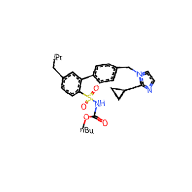 CCCCOC(=O)NS(=O)(=O)c1ccc(CC(C)C)cc1-c1ccc(Cn2ccnc2C2CC2)cc1